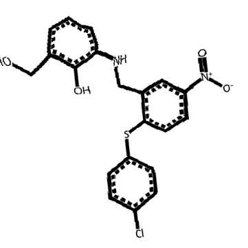 O=[N+]([O-])c1ccc(Sc2ccc(Cl)cc2)c(CNc2cccc(CO)c2O)c1